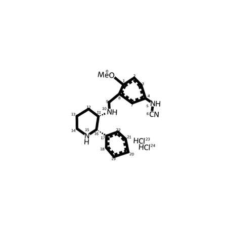 COc1ccc(NC#N)cc1CN[C@H]1CCCN[C@H]1c1ccccc1.Cl.Cl